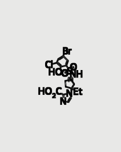 CCC1(n2ccnc2C(=O)O)CC[C@H](NS(=O)(=O)c2cc(Br)cc(Cl)c2O)C1